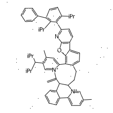 C=C1C2c3ccccc3-c3ccc(C)c[n+]3C2CCc2ccc3c(oc4nc(-c5c(C(C)C)ccc(-c6ccccc6)c5C(C)C)ccc43)c2-c2cc(C)c(C(C(C)C)C(C)C)c[n+]21